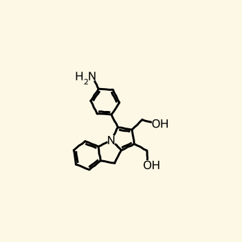 Nc1ccc(-c2c(CO)c(CO)c3n2-c2ccccc2C3)cc1